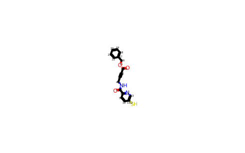 O=C(C#CCNC(=O)c1ccc(S)cn1)OCc1ccccc1